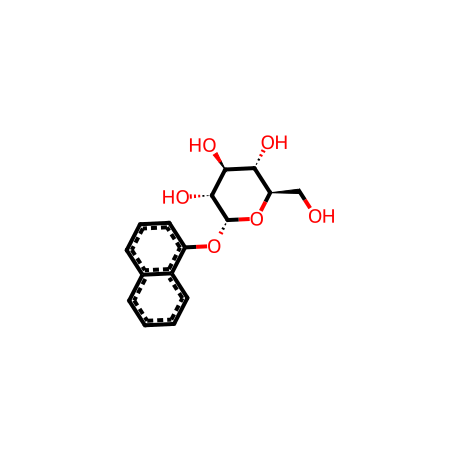 OC[C@H]1O[C@H](Oc2cccc3ccccc23)[C@H](O)[C@@H](O)[C@@H]1O